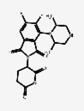 CC1CNCC(C)N1c1c(F)c(F)cc2c1C(=O)N(C1CCC(=O)NC1=O)C2=O